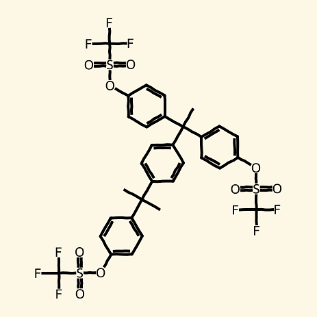 CC(C)(c1ccc(OS(=O)(=O)C(F)(F)F)cc1)c1ccc(C(C)(c2ccc(OS(=O)(=O)C(F)(F)F)cc2)c2ccc(OS(=O)(=O)C(F)(F)F)cc2)cc1